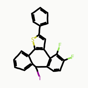 Fc1ccc2c(c1F)-c1cc(-c3ccccc3)sc1-c1ccccc1C2I